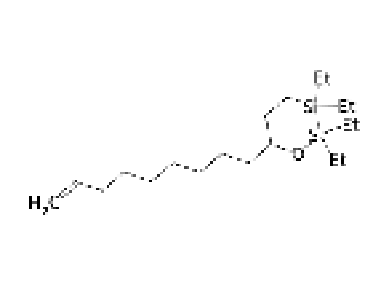 C=CCCCCCCCC1CC[Si](CC)(CC)[Si](CC)(CC)O1